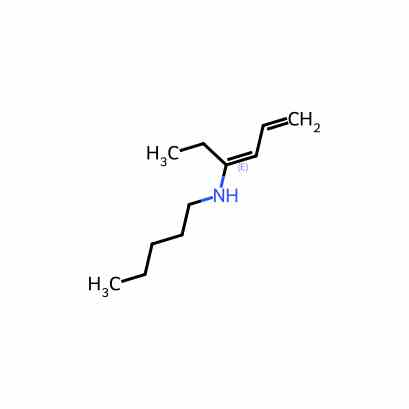 C=C/C=C(\CC)NCCCCC